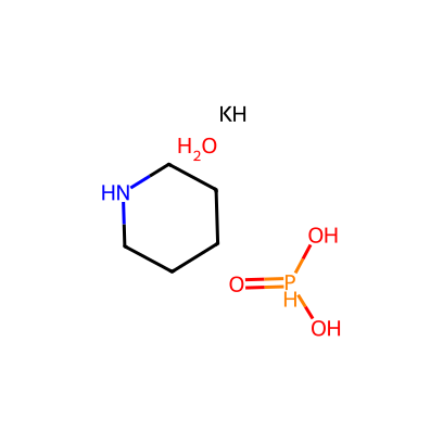 C1CCNCC1.O.O=[PH](O)O.[KH]